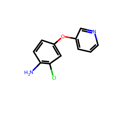 Nc1ccc(Oc2cccnc2)cc1Cl